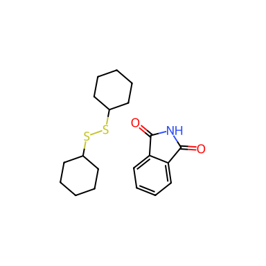 C1CCC(SSC2CCCCC2)CC1.O=C1NC(=O)c2ccccc21